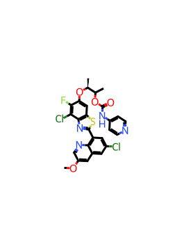 COc1cnc2c(-c3nc4c(Cl)c(F)c(O[C@@H](C)C(C)OC(=O)Nc5ccncc5)cc4s3)cc(Cl)cc2c1